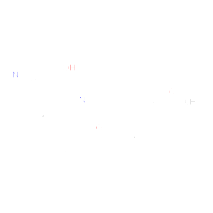 COC1CCC(Oc2nc(O)c(C#N)cc2F)CC1